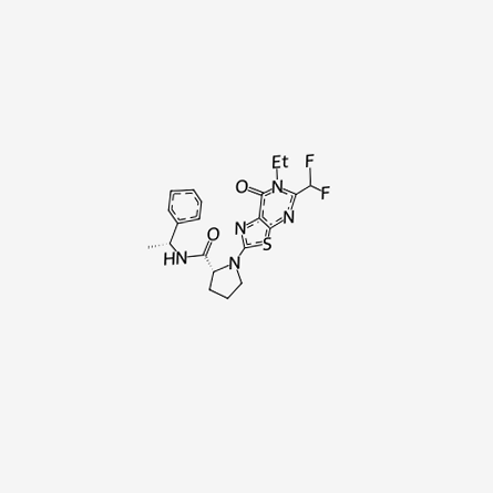 CCn1c(C(F)F)nc2sc(N3CCC[C@@H]3C(=O)N[C@H](C)c3ccccc3)nc2c1=O